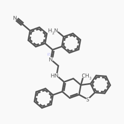 CC12CC(NC/N=C(/c3ccc(C#N)cc3)c3ccccc3N)=C(c3ccccc3)C=C1Sc1ccccc12